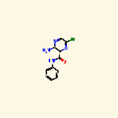 NC1N=CC(Br)=NC1C(=O)Nc1ccccc1